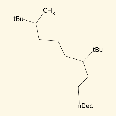 CCCCCCCCCCCCC(CCCC(C)C(C)(C)C)C(C)(C)C